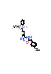 COc1ccccc1NC(=O)c1cc2c(NC(=O)Cc3ccc(C(C)(C)C)cc3)n[nH]c2s1